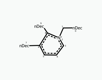 CCCCCCCCCCC[n+]1cccc(CCCCCCCCCC)c1CCCCCCCCCC